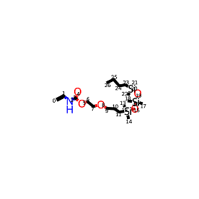 C=CNC(=O)OCCOCCC[Si](C)(C)O[Si](C)(C)O[Si](C)(C)CCCC